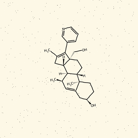 CC1=C(c2cccnc2)[C@@]2(CO)CC[C@H]3[C@@H]([C@H](C)C=C4C[C@H](O)CC[C@@]43C)[C@@H]2C1